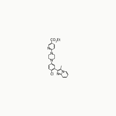 CCOC(=O)c1ccc(N2CCN(c3ccc(Cl)c(-c4nc5ccccn5c4C)c3)CC2)nc1